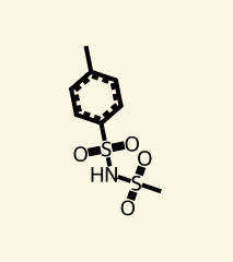 Cc1ccc(S(=O)(=O)NS(C)(=O)=O)cc1